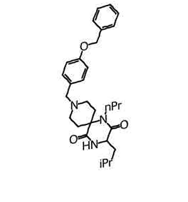 CCCN1C(=O)C(CC(C)C)NC(=O)C12CCN(Cc1ccc(OCc3ccccc3)cc1)CC2